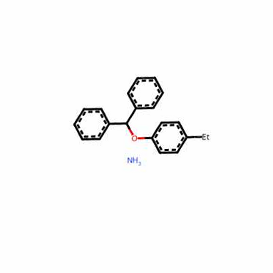 CCc1ccc(OC(c2ccccc2)c2ccccc2)cc1.N